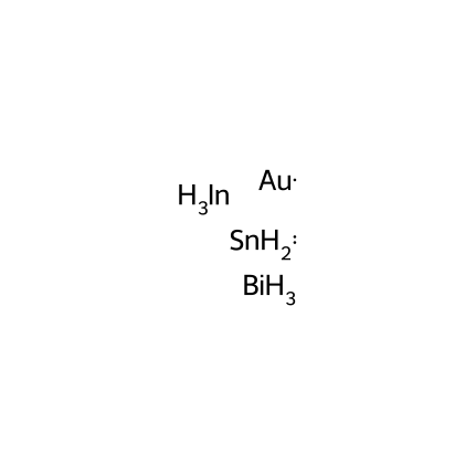 [Au].[BiH3].[InH3].[SnH2]